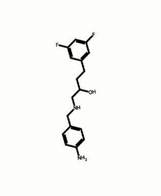 Nc1ccc(CNCC(O)CCc2cc(F)cc(F)c2)cc1